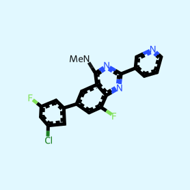 CNc1nc(-c2cccnc2)nc2c(F)cc(-c3cc(F)cc(Cl)c3)cc12